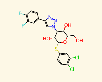 OC[C@H]1O[C@H](Sc2ccc(Cl)c(Cl)c2)[C@H](O)[C@@H](n2cc(-c3ccc(F)c(F)c3)nn2)[C@H]1O